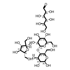 O=C[C@H](O)[C@@H](O)[C@H](O)[C@H](O)CO.OC[C@H]1O[C@H](O[C@H]2[C@H](O)[C@@H](O)[C@H](O)O[C@@H]2CO)[C@H](O)[C@@H](O)[C@@H]1O.OC[C@H]1O[C@](O)(CO)[C@@H](O)[C@@H]1O